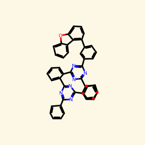 c1ccc(-c2nc(-c3ccccc3)nc(-c3ccccc3-c3nc(-c4ccccc4)nc(-c4cccc(-c5cccc6oc7ccccc7c56)c4)n3)n2)cc1